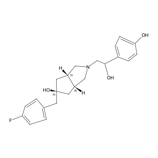 Oc1ccc(C(O)CN2C[C@@H]3C[C@](O)(Cc4ccc(F)cc4)C[C@@H]3C2)cc1